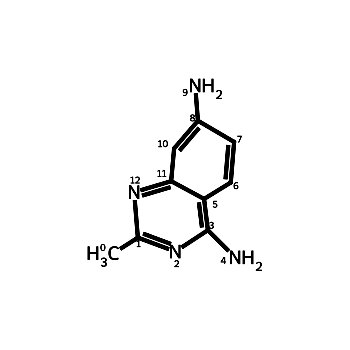 Cc1nc(N)c2ccc(N)cc2n1